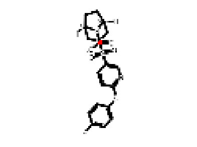 CC(=O)N1[C@@H]2CC[C@H]1CN(S(=O)(=O)c1ccc(Oc3ccc(F)cc3)nc1)C2